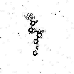 CS(=O)(=O)NCc1cc(F)cc(-c2cccc3[nH]c(-c4n[nH]c5cnc(-c6cncc(OCCN7CCCC7)c6)cc45)nc23)c1